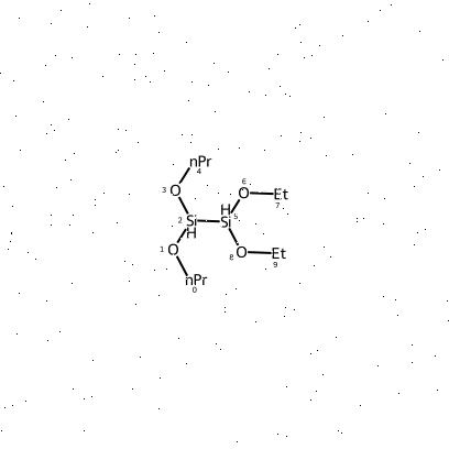 CCCO[SiH](OCCC)[SiH](OCC)OCC